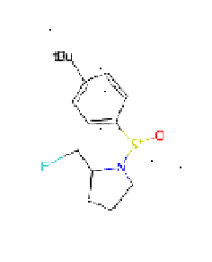 CC(C)(C)c1ccc([S+]([O-])N2CCCC2CF)cc1